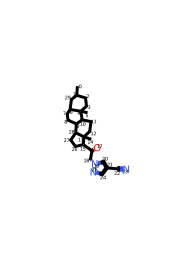 CC1CCC2(C)C(CCC3C2CCC2(C)C(C(=O)Cn4cc(C#N)cn4)CCC32)C1